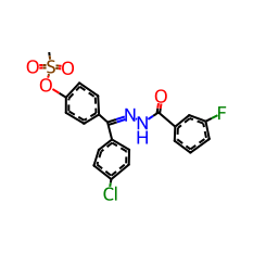 CS(=O)(=O)Oc1ccc(C(=NNC(=O)c2cccc(F)c2)c2ccc(Cl)cc2)cc1